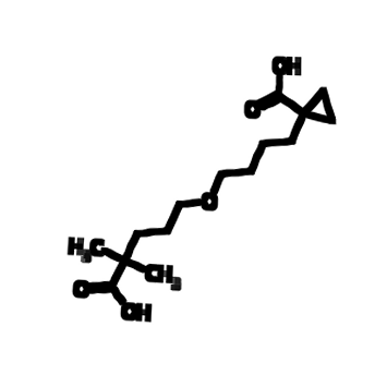 CC(C)(CCCOCCCCC1(C(=O)O)CC1)C(=O)O